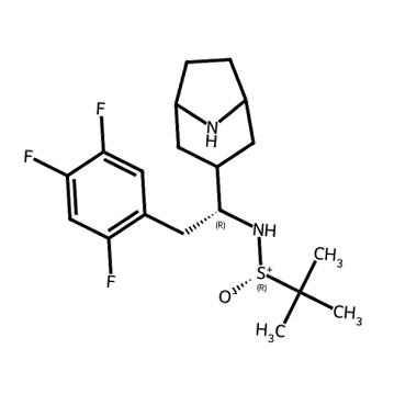 CC(C)(C)[S@+]([O-])N[C@H](Cc1cc(F)c(F)cc1F)C1CC2CCC(C1)N2